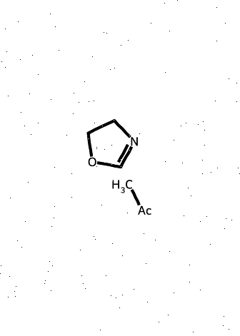 C1=NCCO1.CC(C)=O